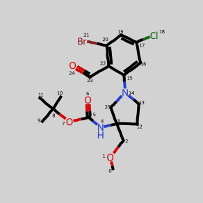 COCC1(NC(=O)OC(C)(C)C)CCN(c2cc(Cl)cc(Br)c2C=O)C1